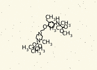 CCc1cc(NC(C)(C)C(=O)OC)ccc1OCCN1CCN(C(=O)OC(C)(C)C)[C@H](C)C1